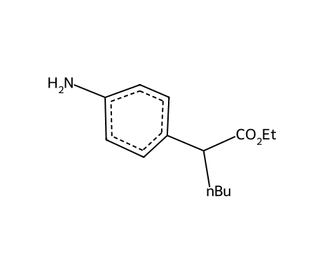 CCCCC(C(=O)OCC)c1ccc(N)cc1